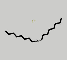 CCCCCCC[CH2][Sn+2][CH2]CCCCCCC.[S-2]